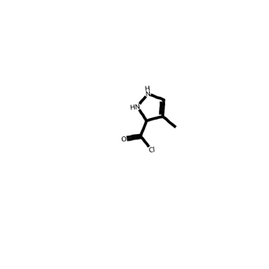 CC1=CNNC1C(=O)Cl